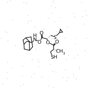 C[C@H](CS)C(=O)O[C@@H](CSC1CC1)C(=O)ONC12CC3CC(CC(C3)C1)C2